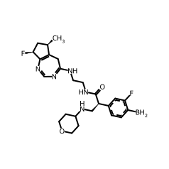 Bc1ccc([C@@H](CNC2CCOCC2)C(=O)NCCNC2=NC=NC3=C(C2)[C@H](C)C[C@@H]3F)cc1F